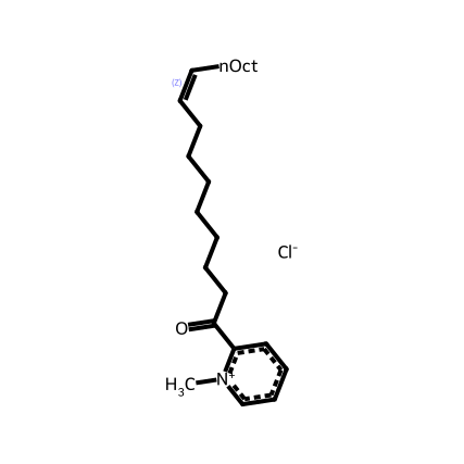 CCCCCCCC/C=C\CCCCCCCC(=O)c1cccc[n+]1C.[Cl-]